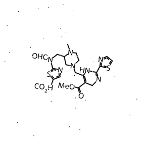 COC(=O)C1=C(CN2CCN(C)C(CN(C=O)c3ncc(C(=O)O)s3)C2)NC(c2nccs2)=NC1